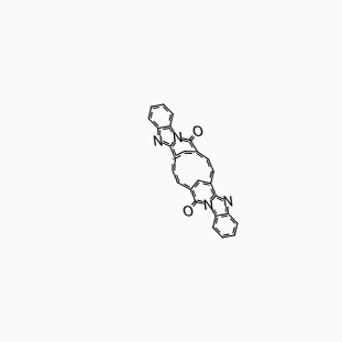 O=c1c2ccc3cc(ccc(c2)c2nc4ccccc4n12)c(=O)n1c2ccccc2nc31